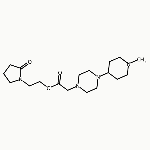 CN1CCC(N2CCN(CC(=O)OCCN3CCCC3=O)CC2)CC1